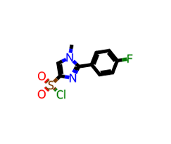 Cn1cc(S(=O)(=O)Cl)nc1-c1ccc(F)cc1